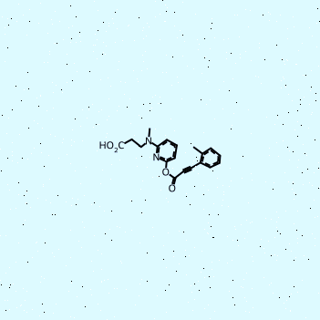 Cc1ccccc1C#CC(=O)Oc1cccc(N(C)CCC(=O)O)n1